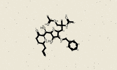 C=CCC1CCC(=O)[C@@H]([C@@H](O)C2OC(CC(C)(COC(C)=O)OC(C)=O)C(OCc3ccccc3)C2O)O1